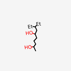 CCC(CC)CC(O)CCCC(C)O